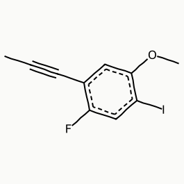 CC#Cc1cc(OC)c(I)cc1F